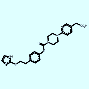 O=C(O)Cc1ccc(N2CCN(C(=O)Oc3ccc(CCSc4ncc[nH]4)cc3)CC2)nc1